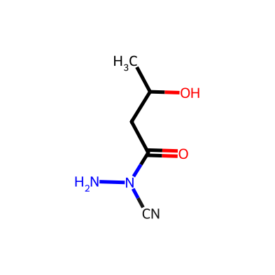 CC(O)CC(=O)N(N)C#N